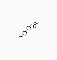 CCCC1CCC(C2CCC(CC(=O)OCC)CC2)CC1